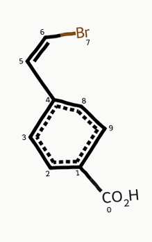 O=C(O)c1ccc(/C=C\Br)cc1